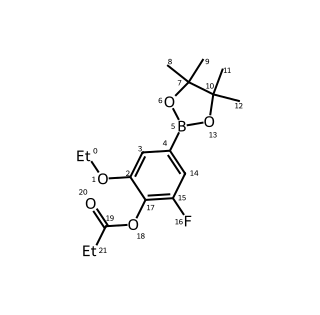 CCOc1cc(B2OC(C)(C)C(C)(C)O2)cc(F)c1OC(=O)CC